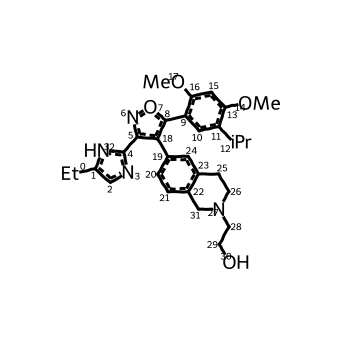 CCc1cnc(-c2noc(-c3cc(C(C)C)c(OC)cc3OC)c2-c2ccc3c(c2)CCN(CCO)C3)[nH]1